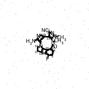 CN1C(=O)c2ccc(F)cc2[C@H]2CCCN2c2cc(cnc2N)-c2c(C#N)nn(C)c21